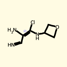 N=C/C(N)=C(/Cl)NC1COC1